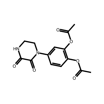 CC(=O)Oc1ccc(N2CCNC(=O)C2=O)cc1OC(C)=O